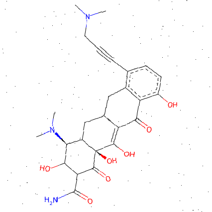 CN(C)CC#Cc1ccc(O)c2c1CC1CC3[C@H](N(C)C)C(O)C(C(N)=O)C(=O)[C@@]3(O)C(O)=C1C2=O